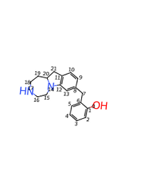 Oc1ccccc1Cc1ccc2c(c1)N1CCNCCC1C2